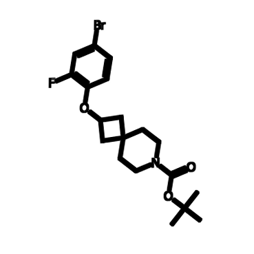 CC(C)(C)OC(=O)N1CCC2(CC1)CC(Oc1ccc(Br)cc1F)C2